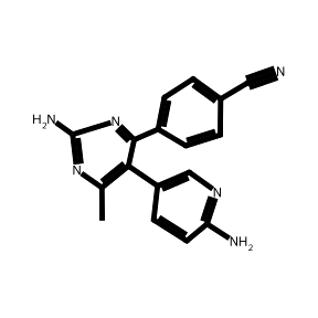 Cc1nc(N)nc(-c2ccc(C#N)cc2)c1-c1ccc(N)nc1